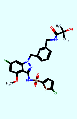 COc1cc(F)cc2c1c(NS(=O)(=O)c1ccc(Cl)s1)nn2Cc1cccc(CNC(=O)C(C)(C)O)c1